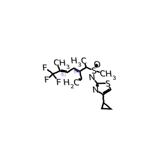 C=C/C(=C\C=C(/C)C(F)(F)F)C(C)S(C)(=O)=Nc1nc(C2CC2)cs1